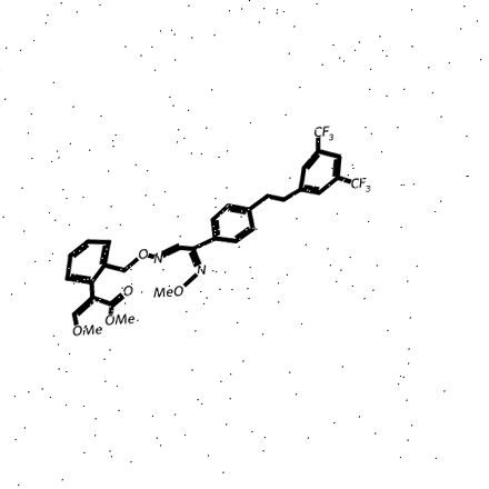 COC=C(C(=O)OC)c1ccccc1CON=CC(=NOC)c1ccc(CCc2cc(C(F)(F)F)cc(C(F)(F)F)c2)cc1